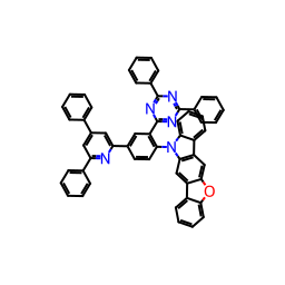 c1ccc(-c2cc(-c3ccccc3)nc(-c3ccc(-n4c5ccccc5c5cc6oc7ccccc7c6cc54)c(-c4nc(-c5ccccc5)nc(-c5ccccc5)n4)c3)c2)cc1